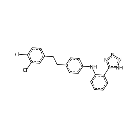 Clc1ccc(CCc2ccc(Nc3ccccc3-c3nnn[nH]3)cc2)cc1Cl